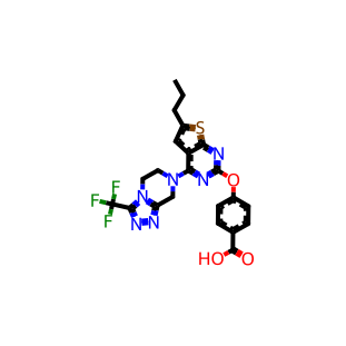 CCCc1cc2c(N3CCn4c(nnc4C(F)(F)F)C3)nc(Oc3ccc(C(=O)O)cc3)nc2s1